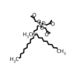 CCCCCCCCCC[N+](C)(CCCCCCCCCC)CCC[Si](OCC1CO1)(OCC1CO1)OCC1CO1